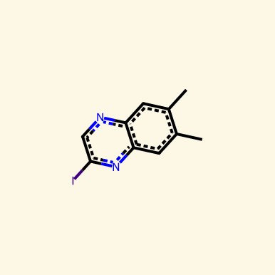 Cc1cc2ncc(I)nc2cc1C